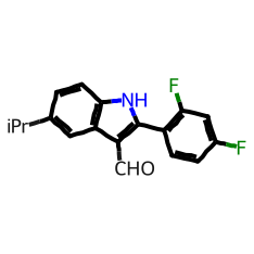 CC(C)c1ccc2[nH]c(-c3ccc(F)cc3F)c(C=O)c2c1